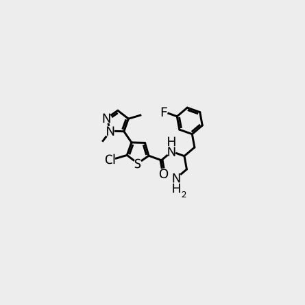 Cc1cnn(C)c1-c1cc(C(=O)NC(CN)Cc2cccc(F)c2)sc1Cl